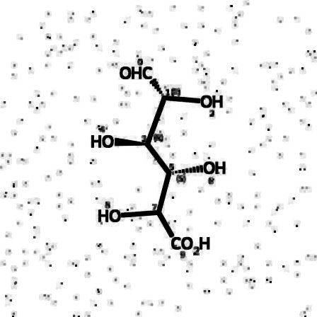 O=C[C@H](O)[C@H](O)[C@H](O)C(O)C(=O)O